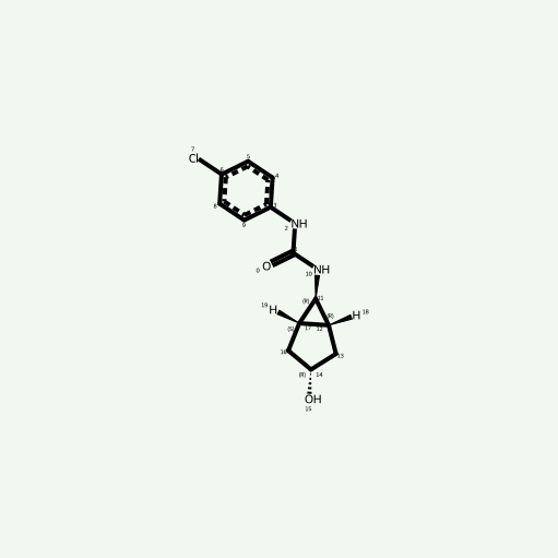 O=C(Nc1ccc(Cl)cc1)N[C@H]1[C@@H]2C[C@H](O)C[C@@H]21